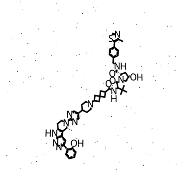 Cc1ncsc1-c1ccc(CNC(=O)[C@@H]2C[C@@H](O)CN2C(=O)C(NC(=O)C2CC3(C2)CC(N2CCC(c4cnc(N5CCc6[nH]c7nnc(-c8ccccc8O)cc7c6[C@H]5C)nc4)CC2)C3)C(C)(C)C)cc1